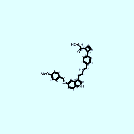 COc1ccc(COc2ccc3[nH]cc(CCNCc4ccc(C5C#CC5C(=O)NO)cc4)c3c2)cc1